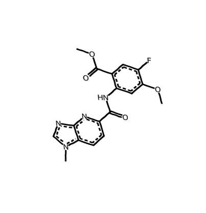 COC(=O)c1cc(F)c(OC)cc1NC(=O)c1ccc2c(ncn2C)n1